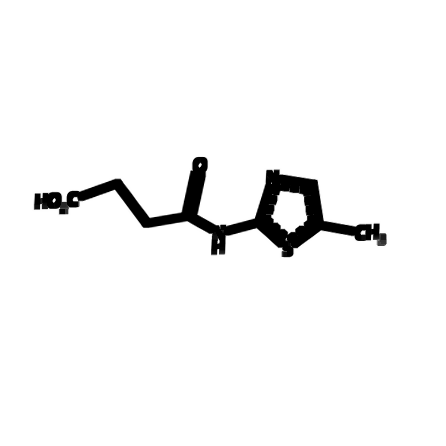 Cc1cnc(NC(=O)CCC(=O)O)s1